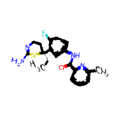 CC[C@@]1(c2cc(NC(=O)c3cccc(C)n3)ccc2F)CCN=C(N)S1